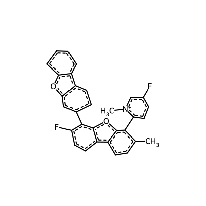 Cc1ccc2c(oc3c(-c4ccc5c(c4)oc4ccccc45)c(F)ccc32)c1-c1ccc(F)c[n+]1C